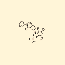 COc1cc(OC)c(F)c(N(CCNC(C)C)c2ccc3ncn(-c4cccnc4)c(=O)c3c2)c1F